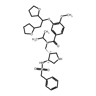 COc1ccc(C(=O)N(C[C@@H]2CNC[C@H]2NS(=O)(=O)Cc2ccccc2)C(C)C)cc1OC(CC1CCCO1)C1CCCO1